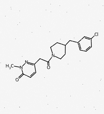 Cn1nc(CC(=O)N2CCC(Cc3cccc(Cl)c3)CC2)ccc1=O